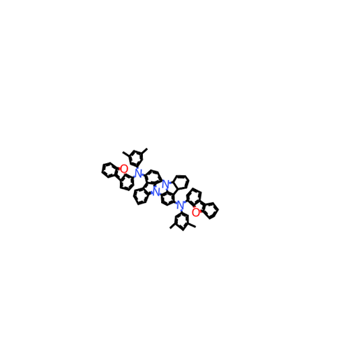 Cc1cc(C)cc(N(c2ccc3c4c2C2C=CC=CC2N4c2ccc(N(c4cc(C)cc(C)c4)c4cccc5c4oc4ccccc45)c4c5ccccc5n-3c24)c2cccc3c2oc2ccccc23)c1